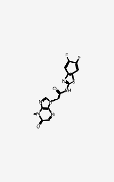 Cn1c(=O)cnc2c1ncn2CC(=O)Nc1nc2cc(F)c(F)cc2s1